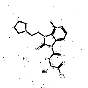 Cc1cccc2c1n(CCN1CCCC1)c(=O)n2C(=O)N[C@H](C(N)=O)C(C)(C)C.Cl